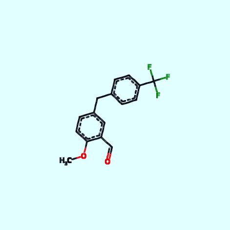 COc1ccc(Cc2ccc(C(F)(F)F)cc2)cc1C=O